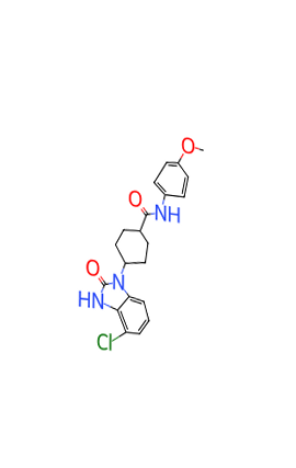 COc1ccc(NC(=O)C2CCC(n3c(=O)[nH]c4c(Cl)cccc43)CC2)cc1